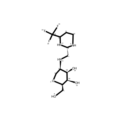 OC[C@H]1OC[C@@H](NC[C@H]2NCCC(C(F)(F)F)N2)[C@@H](O)[C@H]1O